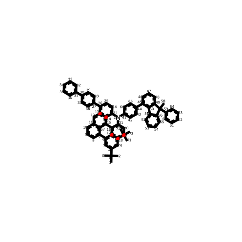 CC(C)(C)c1cc(-c2cccc3cccc(-c4ccccc4N(c4ccc(-c5ccc(-c6ccccc6)cc5)cc4)c4ccc(-c5cccc6c5-c5ccccc5C6(C)c5ccccc5)cc4)c23)cc(C(C)(C)C)c1